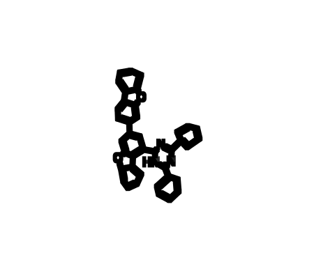 c1ccc(C2=NC(c3cc(-c4ccc5c(c4)oc4ccccc45)cc4oc5ccccc5c34)NC(c3ccccc3)=N2)cc1